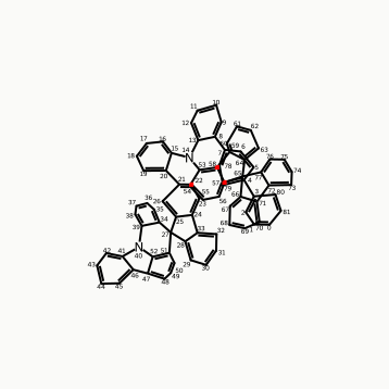 c1ccc(-c2ccc(-c3ccccc3N(c3ccccc3-c3ccc4c(c3)C3(c5ccccc5-4)c4ccccc4-n4c5ccccc5c5cccc3c54)c3cccc4c3-c3ccccc3C43c4ccccc4-c4ccccc43)cc2)cc1